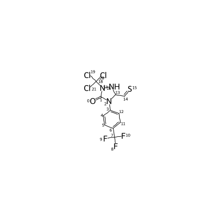 O=C1N(c2ccc(C(F)(F)F)cc2)C(C=S)NN1C(Cl)(Cl)Cl